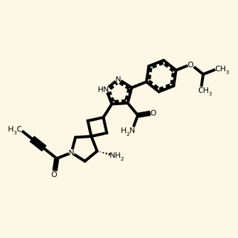 CC#CC(=O)N1C[C@@H](N)C2(CC(c3[nH]nc(-c4ccc(OC(C)C)cc4)c3C(N)=O)C2)C1